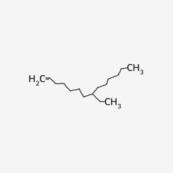 C=CCCCCCC(CC)CCCCCC